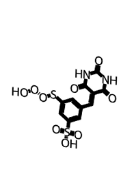 O=C1NC(=O)C(=Cc2cc(SOOO)cc(S(=O)(=O)O)c2)C(=O)N1